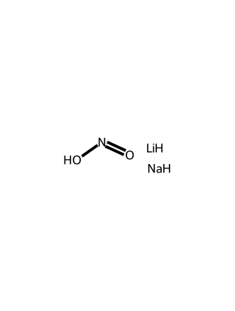 O=NO.[LiH].[NaH]